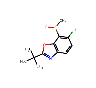 C[S+]([O-])c1c(Cl)ccc2nc(C(C)(C)C)oc12